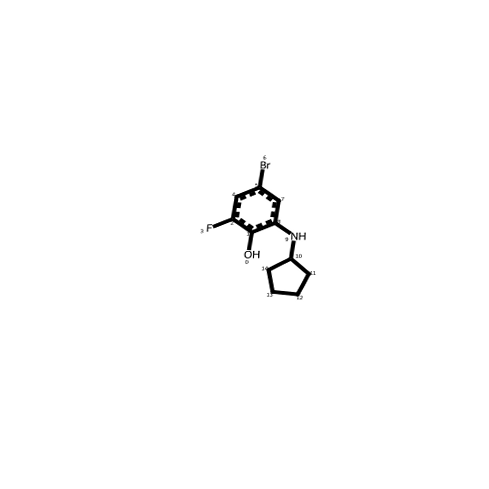 Oc1c(F)cc(Br)cc1NC1CCCC1